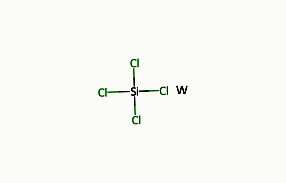 Cl[Si](Cl)(Cl)Cl.[W]